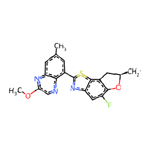 [CH2][C@@H]1Cc2c(c(F)cc3nc(-c4cc(C)cc5nc(OC)cnc45)sc23)O1